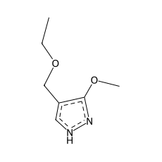 CCOCc1c[nH]nc1OC